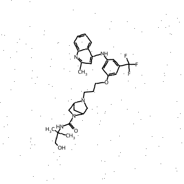 Cc1cc(Nc2cc(OCCCN3CC4CC3CN4C(=O)NC(C)(C)CO)cc(C(F)(F)F)c2)c2ccccc2n1